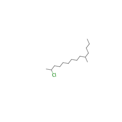 CCCCC(C)CCCCCCCC(C)Cl